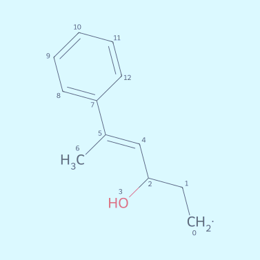 [CH2]CC(O)C=C(C)c1ccccc1